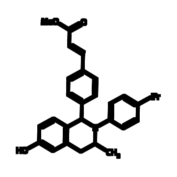 COC(=O)/C=C/c1ccc(C2c3ccc(O)cc3CC(C)N2c2ccc(C(C)C)cc2)cc1